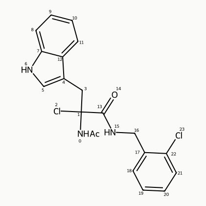 CC(=O)NC(Cl)(Cc1c[nH]c2ccccc12)C(=O)NCc1ccccc1Cl